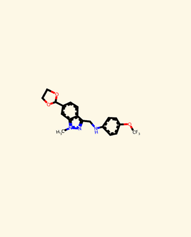 Cn1nc(CNc2ccc(OC(F)(F)F)cc2)c2ccc(C3OCCO3)cc21